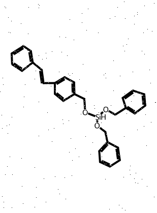 C(=Cc1ccc(CO[SiH](OCc2ccccc2)OCc2ccccc2)cc1)c1ccccc1